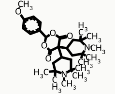 COc1ccc(C2OC(=O)C(C3CC(C)(C)N(C)C(C)(C)C3)(C3CC(C)(C)N(C)C(C)(C)C3)C(=O)O2)cc1